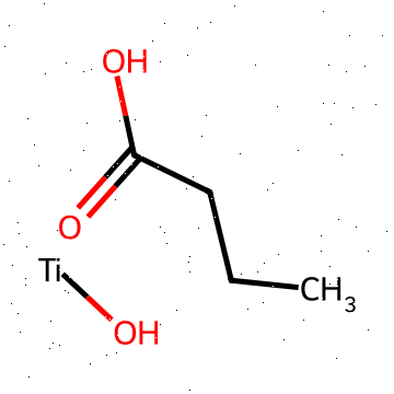 CCCC(=O)O.[OH][Ti]